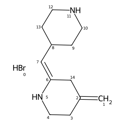 Br.C=C1CCNC(=CC2CCNCC2)C1